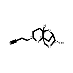 N#CCC[C@H]1CC[C@@H]2OC3C[C@]2(CO[C@H]3O)O1